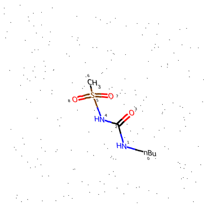 CCCCNC(=O)NS(C)(=O)=O